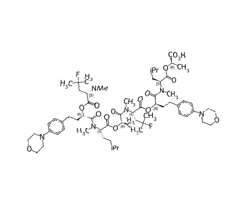 CN[C@@H](CC(C)(C)F)C(=O)O[C@H](CCc1ccc(N2CCOCC2)cc1)C(=O)N(C)[C@@H](CCC(C)C)C(=O)O[C@H](C)C(=O)N(C)[C@@H](CC(C)(C)F)C(=O)O[C@H](CCc1ccc(N2CCOCC2)cc1)C(=O)N(C)[C@@H](CC(C)C)C(=O)O[C@H](C)C(=O)O